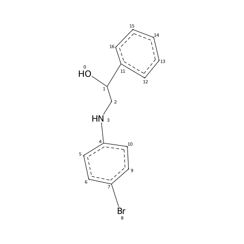 OC(CNc1ccc(Br)cc1)c1ccccc1